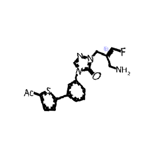 CC(=O)c1ccc(-c2cccc(-n3cnn(C/C(=C/F)CN)c3=O)c2)s1